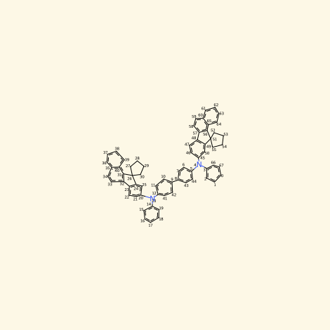 c1ccc(N(c2ccc(-c3ccc(N(c4ccccc4)c4ccc5c(c4)C4(CCCC4)c4c-5ccc5ccccc45)cc3)cc2)c2ccc3c(c2)C2(CCCC2)c2c-3ccc3ccccc23)cc1